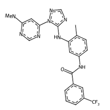 CNc1cc(-n2ncnc2Nc2cc(NC(=O)c3cccc(C(F)(F)F)c3)ccc2C)ncn1